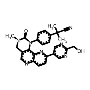 CN1Cc2cnc3ccc(-c4cnc(CO)nc4)nc3c2N(c2ccc(C(C)(C)C#N)cc2)C1=O